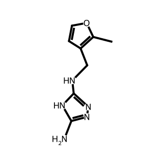 Cc1occc1CNc1nnc(N)[nH]1